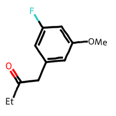 CCC(=O)Cc1cc(F)cc(OC)c1